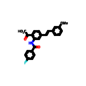 COc1cccc(/C=C/c2ccc(C(=O)C(=O)O)c(NC(=O)c3ccc(F)cc3)c2)c1